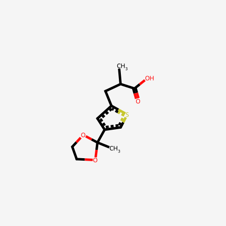 CC(Cc1cc(C2(C)OCCO2)cs1)C(=O)O